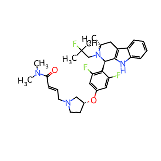 C[C@@H]1Cc2c([nH]c3ccccc23)[C@@H](c2c(F)cc(O[C@@H]3CCN(C/C=C/C(=O)N(C)C)C3)cc2F)N1CC(C)(C)F